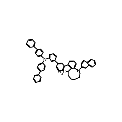 CC1CCCCCN(c2ccc3ccccc3c2)c2cccc(-c3cccc(-c4cccc(N(c5ccc(-c6ccccc6)cc5)c5ccc(-c6ccccc6)cc5)c4)c3)c21